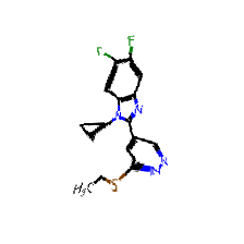 CCSc1cc(-c2nc3cc(F)c(F)cc3n2C2CC2)cnn1